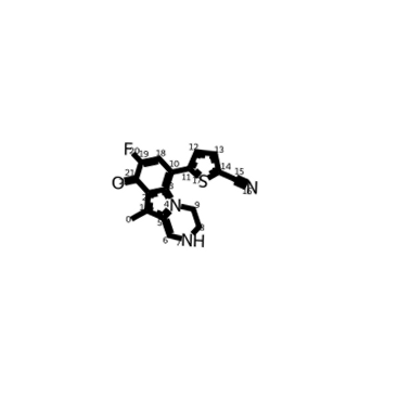 Cc1c2c(n3c1=CNCC3)=C(c1ccc(C#N)s1)C=C(F)C2=O